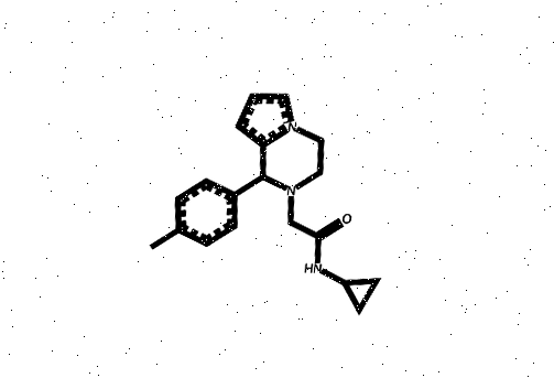 Cc1ccc(C2c3cccn3CCN2CC(=O)NC2CC2)cc1